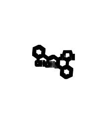 O/C(=C\C1=Nc2ccccc2C2=NCCN12)c1ccccc1O